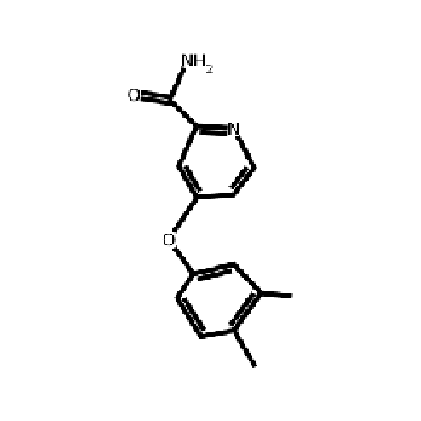 Cc1ccc(Oc2ccnc(C(N)=O)c2)cc1C